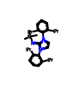 CC(C)c1cccc(C(C)C)c1-n1ccn(-c2c(C(C)C)cccc2C(C)C)c1=N[Si](C)(C)C